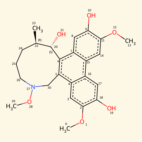 COc1cc2c3c(c4cc(O)c(OC)cc4c2cc1O)[C@@H](O)[C@H](C)CCCN(OC)C3